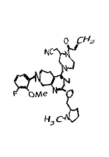 C=CC(=O)N1CCN(c2nc(OCC3CCCN3C)nc3c2CCN(c2cccc(F)c2OC)C3)CC1CC#N